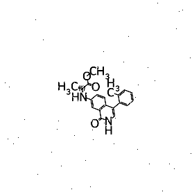 COC(=O)[C@H](C)Nc1ccc2c(-c3ccccc3C)c[nH]c(=O)c2c1